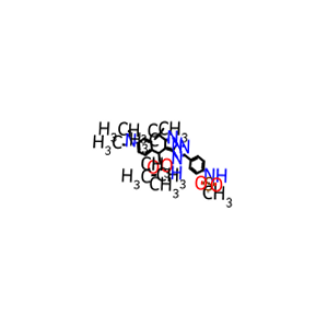 CCN(CC)c1ccc(C(C(=O)OC(C)(C)C)c2c(C(C)(C)C)nn3nc(-c4ccc(NS(C)(=O)=O)cc4)[nH]c23)c(C)c1